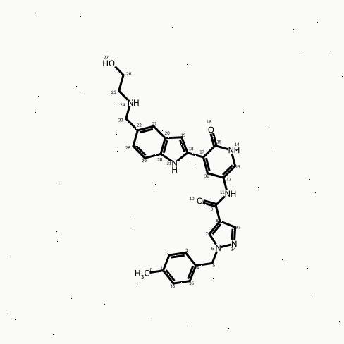 Cc1ccc(Cn2cc(C(=O)Nc3c[nH]c(=O)c(-c4cc5cc(CNCCO)ccc5[nH]4)c3)cn2)cc1